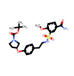 COc1ccc(C(N)=O)cc1S(=O)(=O)NCCc1ccc(O[C@H]2CCN(C(=O)OC(C)(C)C)C2)cc1